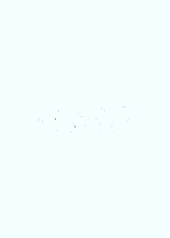 CN1C(C(C)(C)NC(=O)[C@H]2[C@@H]3CNC[C@@H]32)=CC=C2C=CC=CC21